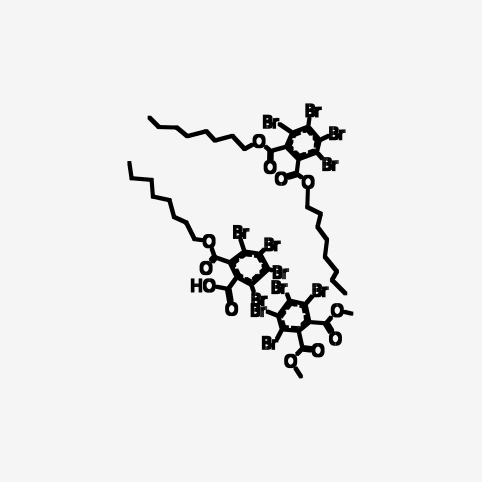 CCCCCCCCOC(=O)c1c(Br)c(Br)c(Br)c(Br)c1C(=O)O.CCCCCCCCOC(=O)c1c(Br)c(Br)c(Br)c(Br)c1C(=O)OCCCCCCCC.COC(=O)c1c(Br)c(Br)c(Br)c(Br)c1C(=O)OC